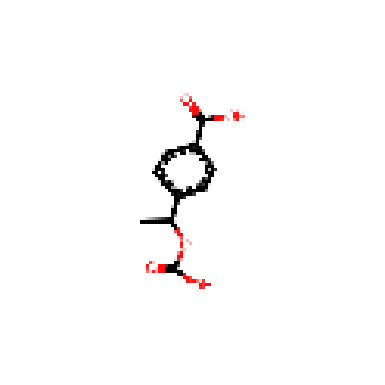 CC(OC(=O)O)c1ccc(C(=O)O)cc1